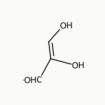 O=[C]/C(O)=C/O